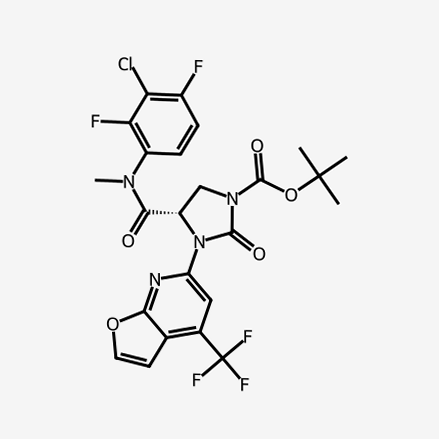 CN(C(=O)[C@@H]1CN(C(=O)OC(C)(C)C)C(=O)N1c1cc(C(F)(F)F)c2ccoc2n1)c1ccc(F)c(Cl)c1F